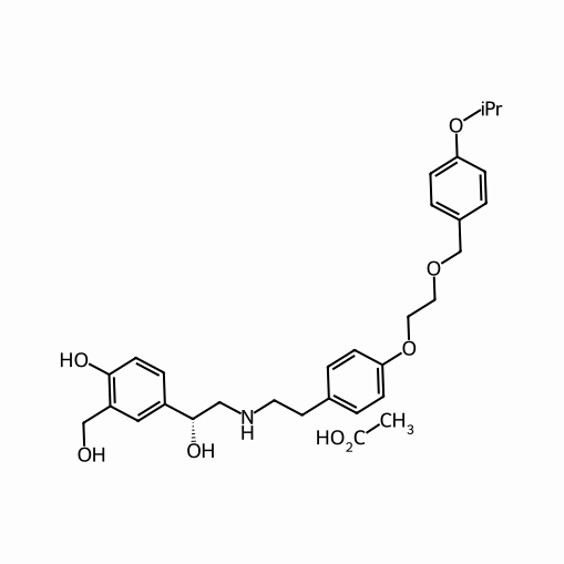 CC(=O)O.CC(C)Oc1ccc(COCCOc2ccc(CCNC[C@H](O)c3ccc(O)c(CO)c3)cc2)cc1